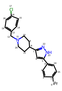 CC(C)c1ccc(-c2cc(C3CCN(Cc4ccc(Cl)cc4)CC3)n[nH]2)cc1